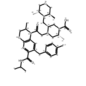 CC(C)NC(=O)c1nc2c(cc1Cc1ccc(F)cc1)N(C(=O)CN1C[C@@H](C)N(C(=O)O)C[C@@H]1CN1[C@H](C)COC[C@H]1C)C(C)CO2